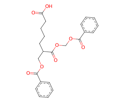 O=C(O)CCCCC(COC(=O)c1ccccc1)C(=O)OCOC(=O)c1ccccc1